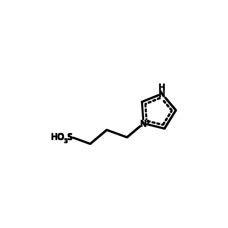 O=S(=O)(O)CCC[n+]1cc[nH]c1